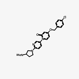 CNC1CCN(c2ccc(-n3ccc(OCc4ccc(Cl)cc4)cc3=O)cn2)C1